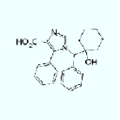 O=C(O)c1ncn(C(c2ccccc2)C2(O)CCCCC2)c1-c1ccccc1